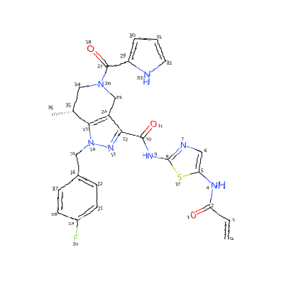 C=CC(=O)Nc1cnc(NC(=O)c2nn(Cc3ccc(F)cc3)c3c2CN(C(=O)c2ccc[nH]2)C[C@H]3C)s1